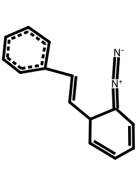 [N-]=[N+]=C1C=CC=CC1C=Cc1ccccc1